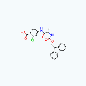 COC(=O)c1ccc(NC(=O)[C@H](C)NC(=O)OCC2c3ccccc3-c3ccccc32)cc1Cl